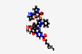 CCCCOC(=O)N1CCN(C(=O)[C@@H](NC(=O)c2cc(OCC(=O)N3CCC[C@H]3C(=O)NC3CCC3)n(-c3ccccc3)n2)C(C)(C)O)CC1